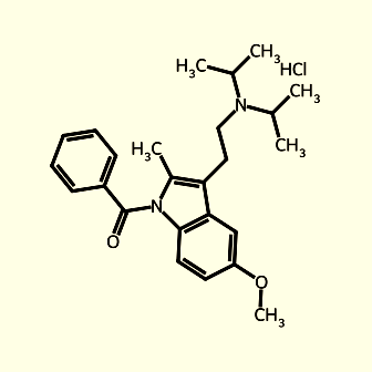 COc1ccc2c(c1)c(CCN(C(C)C)C(C)C)c(C)n2C(=O)c1ccccc1.Cl